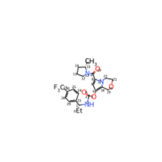 CC[C@@H](NC(=O)Oc1cc(C(=O)N2CCC[C@@H]2C)n2c1COCC2)c1ccc(C(F)(F)F)cc1